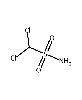 NS(=O)(=O)[C](Cl)Cl